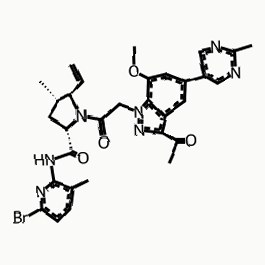 C=C[C@@H]1[C@@H](C)C[C@@H](C(=O)Nc2nc(Br)ccc2C)N1C(=O)Cn1nc(C(C)=O)c2cc(-c3cnc(C)nc3)cc(OC)c21